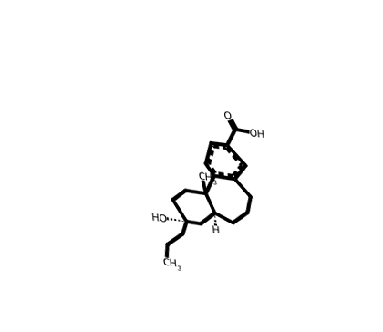 CCC[C@@]1(O)CCC2(C)c3ccc(C(=O)O)cc3CCC[C@H]2C1